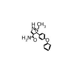 CCN1NC=C(C(N)=O)C1c1ccc(Oc2ccccc2)cc1